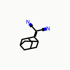 N#CC(C#N)=C1C2CC3CC(C2)CC1C3